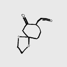 O=CC1CCC2(CC1=O)OCCO2